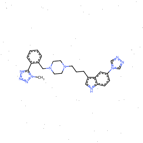 Cn1nnnc1-c1ccccc1CN1CCN(CCCc2c[nH]c3ccc(-n4cnnc4)cc23)CC1